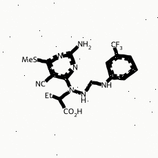 CCC(C(=O)O)N(NCNc1cccc(C(F)(F)F)c1)c1nc(N)nc(SC)c1C#N